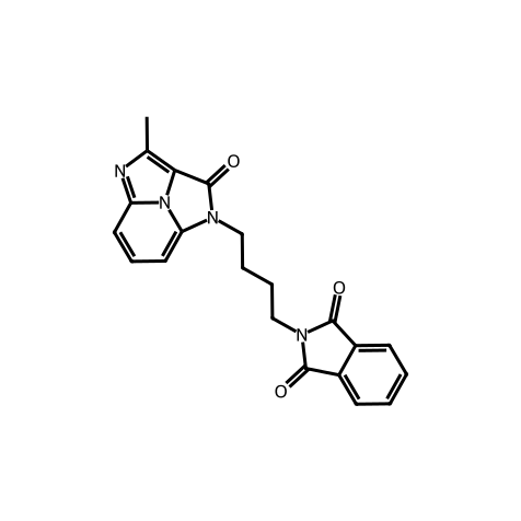 Cc1nc2cccc3n(CCCCN4C(=O)c5ccccc5C4=O)c(=O)c1n23